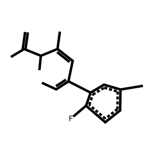 C=C(C)C(C)/C(C)=C\C(=C/C)c1cc(C)ccc1F